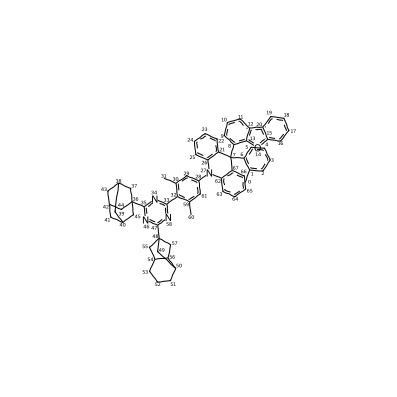 Cc1ccccc1C1(c2cccc3c2oc2ccccc23)c2ccccc2N(c2cc(C)c(-c3nc(C45CC6CC(CC(C6)C4)C5)nc(C45CC6CCCC(C4)C6C5)n3)c(C)c2)c2ccccc21